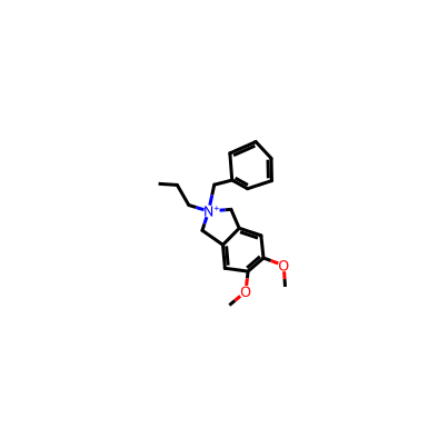 CCC[N+]1(Cc2ccccc2)Cc2cc(OC)c(OC)cc2C1